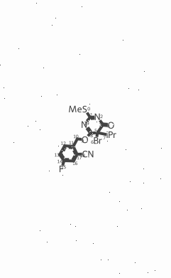 CSC1=NC(=O)C(Br)(C(C)C)C(OCc2ccc(F)cc2C#N)=N1